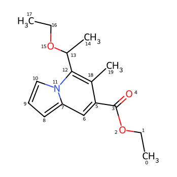 CCOC(=O)c1cc2cccn2c(C(C)OCC)c1C